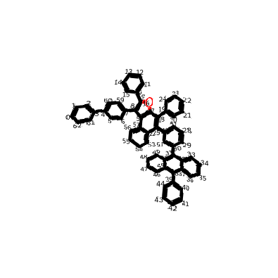 c1ccc(-c2ccc(-c3c(-c4ccccc4)oc4c(-c5ccccc5)c(-c5cccc(-c6c7ccccc7c(-c7ccccc7)c7ccccc67)c5)c5ccccc5c34)cc2)cc1